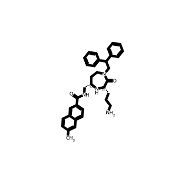 Cc1ccc2cc(C(=O)NC[C@@H]3CCN(CC(c4ccccc4)c4ccccc4)C(=O)[C@H](CCCN)N3)ccc2c1